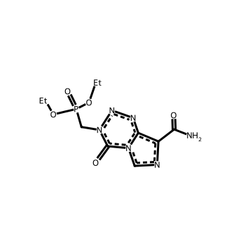 CCOP(=O)(Cn1nnc2c(C(N)=O)ncn2c1=O)OCC